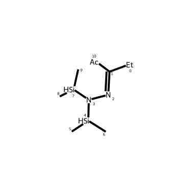 CCC(=NN([SiH](C)C)[SiH](C)C)C(C)=O